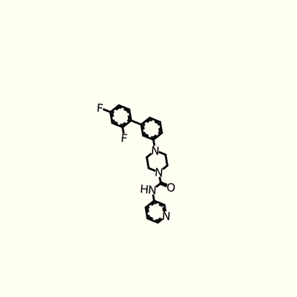 O=C(Nc1cccnc1)N1CCN(c2cccc(-c3ccc(F)cc3F)c2)CC1